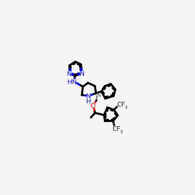 CC(OC[C@@]1(c2ccccc2)CCC(Nc2ncccn2)CN1)c1cc(C(F)(F)F)cc(C(F)(F)F)c1